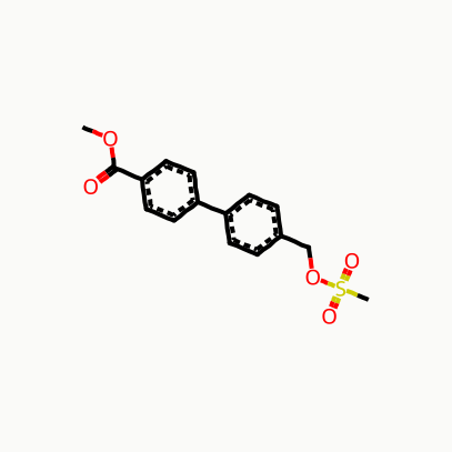 COC(=O)c1ccc(-c2ccc(COS(C)(=O)=O)cc2)cc1